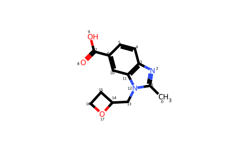 Cc1nc2ccc(C(=O)O)cc2n1CC1CCO1